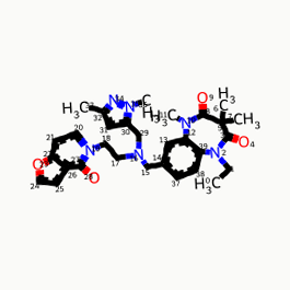 CCN1C(=O)C(C)(C)C(=O)N(C)c2cc(CN(CCn3ccc4occc4c3=O)Cc3cc(C)nn3C)ccc21